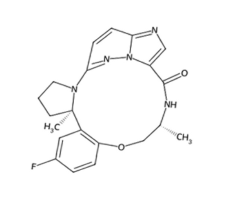 C[C@@H]1COc2ccc(F)cc2[C@@]2(C)CCCN2c2ccc3ncc(n3n2)C(=O)N1